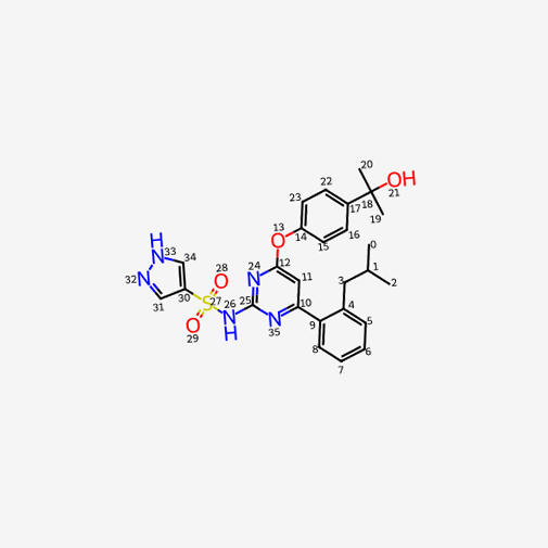 CC(C)Cc1ccccc1-c1cc(Oc2ccc(C(C)(C)O)cc2)nc(NS(=O)(=O)c2cn[nH]c2)n1